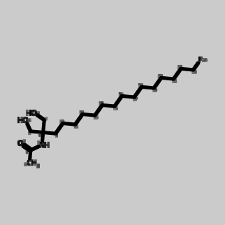 CC(=O)NC(CO)(CO)CCCCCCCCCCCCCCCF